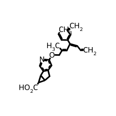 C=C/C=C(\C=C/C)C(/C=C(\C)COc1cc2c(cn1)C1C(C2)C1C(=O)O)=C/C=C